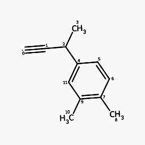 [C]#CC(C)c1ccc(C)c(C)c1